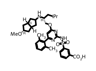 CO[C@H]1C[C@H]2CC(N[C@@H](COc3cc(-c4c(C)cccc4C)nc(NS(=O)(=O)c4cccc(C(=O)O)c4)n3)CC(C)C)C[C@H]2C1